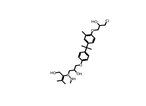 CNN(CC(O)COc1ccc(C(C)(C)c2ccc(OCC(O)CCl)c(C)c2)cc1)C(CO)=C(C)C